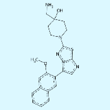 COc1cc2ccccc2cc1-c1cnc2sc(N3CCC(O)(CN)CC3)nn12